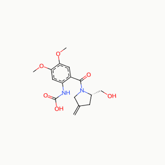 C=C1C[C@@H](CO)N(C(=O)c2cc(OC)c(OC)cc2NC(=O)O)C1